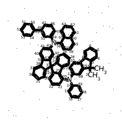 CC1(C)c2ccccc2-c2ccc(N(c3ccccc3)c3cccc4c3-c3ccccc3C43c4ccccc4-c4ccc(N(c5cccc(-c6ccccc6)c5)c5cccc6ccccc56)cc43)cc21